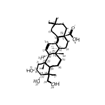 CC1(C)CC[C@]2(C(=O)O)CC[C@]3(C)C(=C2C1)C=C[C@@H]1[C@@]2(C)C[C@@H](O)[C@@H](O)C(C)(CO)C2CC[C@]13C